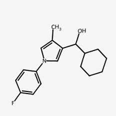 Cc1cn(-c2ccc(F)cc2)cc1C(O)C1CCCCC1